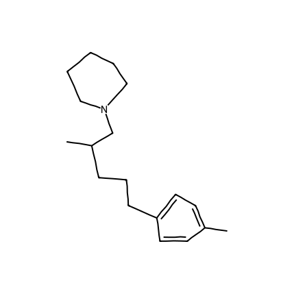 Cc1ccc(CCCC(C)CN2CCCCC2)cc1